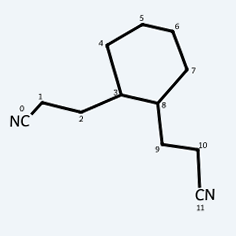 N#CCCC1CCCCC1CCC#N